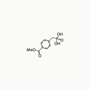 COC(=O)c1ccc(CP(=O)(O)O)cc1